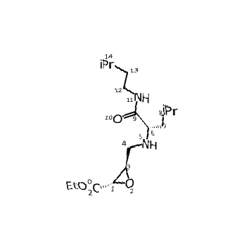 CCOC(=O)[C@H]1O[C@@H]1CN[C@@H](CC(C)C)C(=O)NCCC(C)C